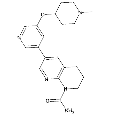 CN1CCC(Oc2cncc(-c3cnc4c(c3)CCCN4C(N)=O)c2)CC1